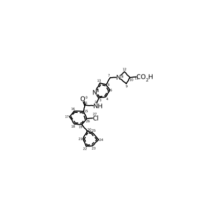 O=C(Nc1ccc(CN2CC(C(=O)O)C2)cn1)c1cccc(-c2ccccc2)c1Cl